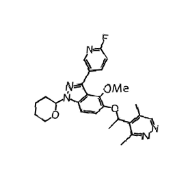 COc1c(OC(C)c2c(C)cnnc2C)ccc2c1c(-c1ccc(F)nc1)nn2C1CCCCO1